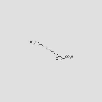 CC(=CC(=O)O)CC(=O)CCCCCCCCCCCC(=O)O